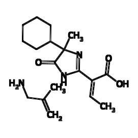 C=C(C)CN.CC=C(C(=O)O)C1=NC(C)(C2CCCCC2)C(=O)N1